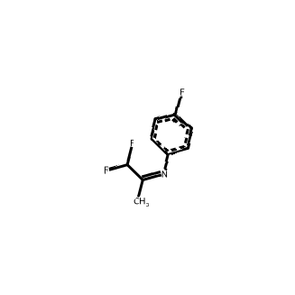 CC(=Nc1ccc(F)cc1)C(F)F